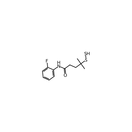 CC(C)(CCC(=O)Nc1ccccc1F)SS